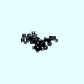 CC1N(CC(N)=O)C(=O)C12CCCN2C(=O)OC(C)(C)C